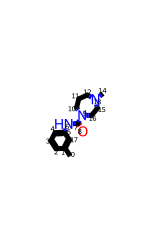 Cc1cccc(NC(=O)N2CCCN(C)CC2)c1